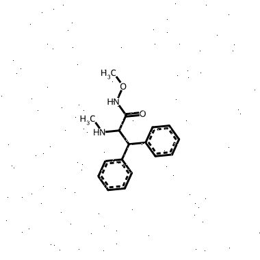 CNC(C(=O)NOC)C(c1ccccc1)c1ccccc1